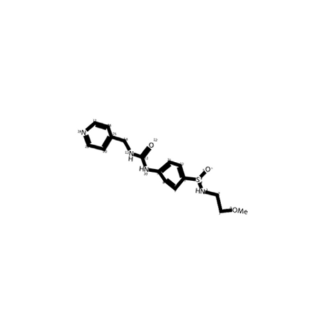 COCCN[S+]([O-])c1ccc(NC(=O)NCc2ccncc2)cc1